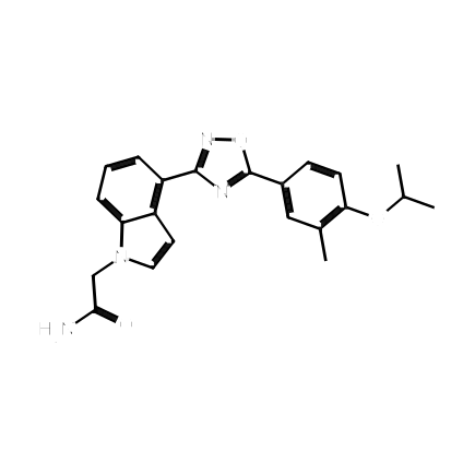 Cc1cc(-c2nc(-c3cccc4c3ccn4CC(N)=O)no2)ccc1OC(C)C